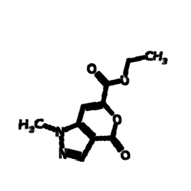 CCOC(=O)c1cc2c(cnn2C)c(=O)o1